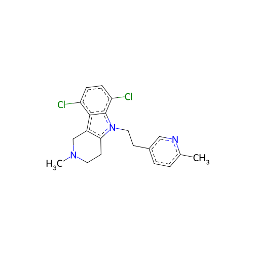 Cc1ccc(CCn2c3c(c4c(Cl)ccc(Cl)c42)CN(C)CC3)cn1